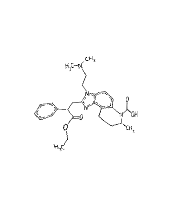 CCOC(=O)C(Cc1nc2c3c(ccc2n1CCN(C)C)N(C(=O)O)[C@@H](C)CC3)c1ccccc1